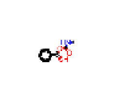 CNC(=O)OB(O)c1ccccc1